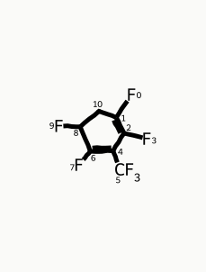 FC1=C(F)C(C(F)(F)F)=C(F)C(F)C1